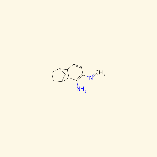 C=NC1=C(N)C2C3CCC(C3)C2C=C1